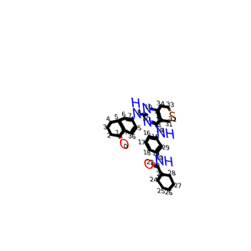 O=C1CCCc2cc(Nc3nc4c(c(Nc5cccc(NC(=O)C6CCCCC6)c5)n3)CSCC4)ccc21